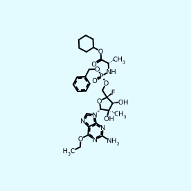 CCOc1nc(N)nc2c1ncn2[C@@H]1O[C@](F)(COP(=O)(N[C@@H](C)C(=O)OC2CCCCC2)OCc2ccccc2)[C@@H](O)[C@@]1(C)O